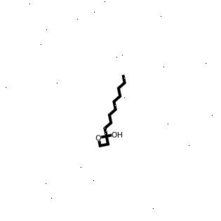 CCCCCCCCCC1(O)CCO1